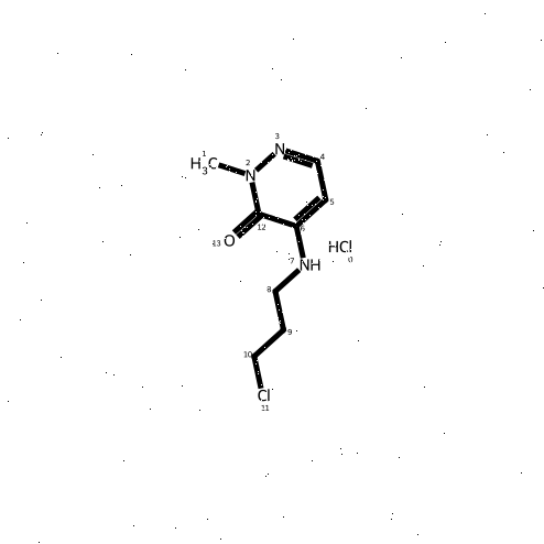 Cl.Cn1nccc(NCCCCl)c1=O